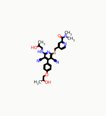 CC(O)CNc1nc(SCc2ccnc(C(=O)N(C)C)c2)c(C#N)c(-c2ccc(OC[C@H](C)O)cc2)c1C#N